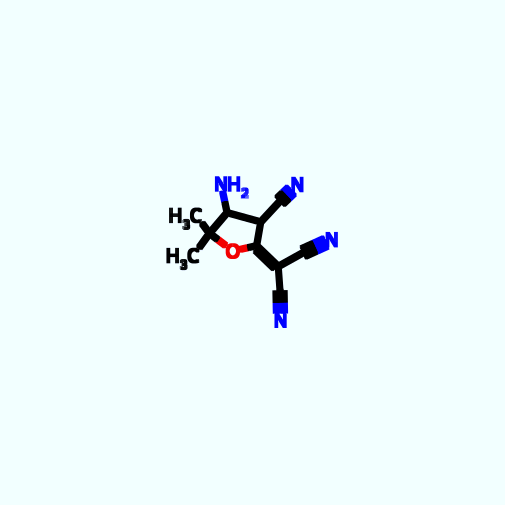 CC1(C)OC(=C(C#N)C#N)C(C#N)C1N